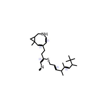 C=N/C=C(/CCC1=C/C2(C)CC2CN/C=C\1)SC/C=C/C(C)/C(C)=C/C(C)C(C)(C)C